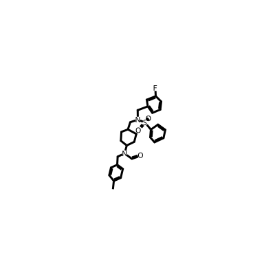 Cc1ccc(CN(C=O)C2CCC(CN(Cc3cccc(F)c3)S(=O)(=O)c3ccccc3)CC2)cc1